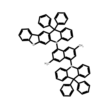 Cc1cc(N2c3ccccc3C(c3ccccc3)(c3ccccc3)c3cc4c(cc32)oc2ccccc24)c2cc(C)cc(N3c4ccccc4C(c4ccccc4)(c4ccccc4)c4ccccc43)c2c1